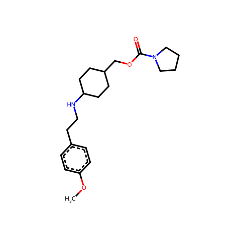 COc1ccc(CCNC2CCC(COC(=O)N3CCCC3)CC2)cc1